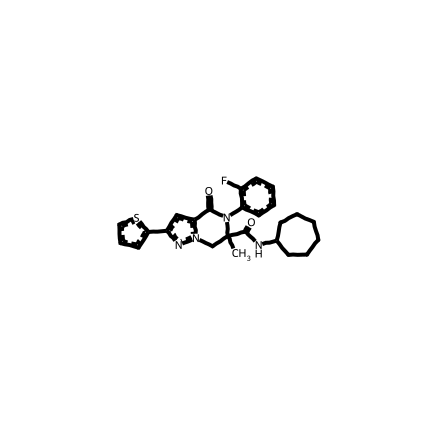 CC1(C(=O)NC2CCCCCC2)Cn2nc(-c3cccs3)cc2C(=O)N1c1ccccc1F